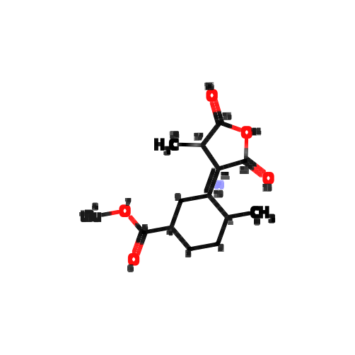 CC1CCC(C(=O)OC(C)(C)C)C/C1=C1/C(=O)OC(=O)C1C